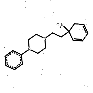 O=[N+]([O-])C1(CCN2CCN(c3ccccc3)CC2)C=CC=CC1